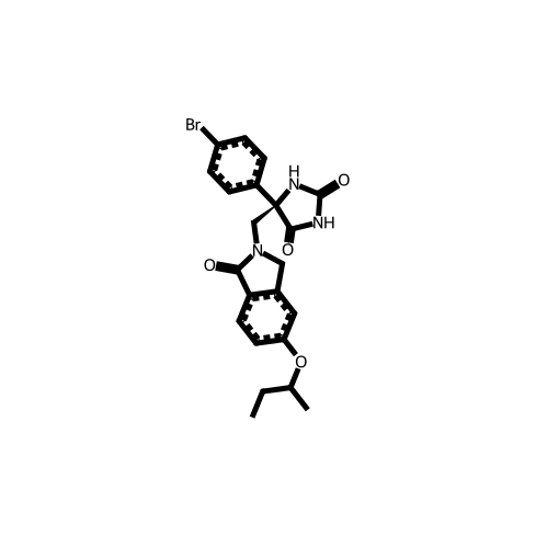 CCC(C)Oc1ccc2c(c1)CN(C[C@@]1(c3ccc(Br)cc3)NC(=O)NC1=O)C2=O